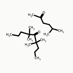 CC(=O)CCC(C)C.CCCC(C)(C)C(=O)C(C)(C)CCC